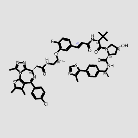 Cc1ncsc1-c1ccc([C@H](C)NC(=O)[C@@H]2C[C@@H](O)CN2C(=O)[C@@H](NC(=O)/C=C/c2ccc(F)c(O[C@H](C)CNC(=O)C[C@@H]3N=C(c4ccc(Cl)cc4)c4c(sc(C)c4C)-n4c(C)nnc43)c2)C(C)(C)C)cc1